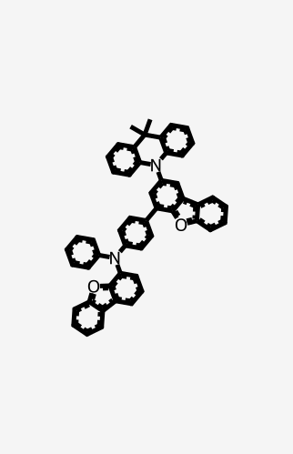 CC1(C)c2ccccc2N(c2cc(-c3ccc(N(c4ccccc4)c4cccc5c4oc4ccccc45)cc3)c3oc4ccccc4c3c2)c2ccccc21